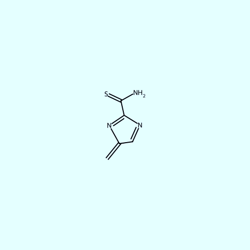 C=C1C=NC(C(N)=S)=N1